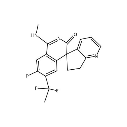 CNC1=NC(=O)C2(CCc3ncccc32)c2cc(C(C)(F)F)c(F)cc21